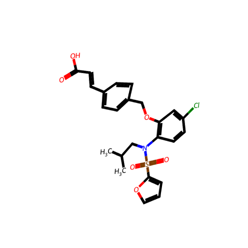 CC(C)CN(c1ccc(Cl)cc1OCc1ccc(C=CC(=O)O)cc1)S(=O)(=O)c1ccco1